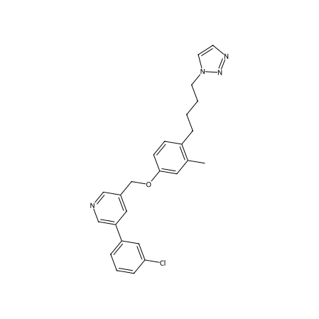 Cc1cc(OCc2cncc(-c3cccc(Cl)c3)c2)ccc1CCCCn1ccnn1